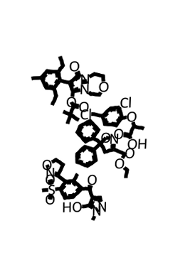 CC(Oc1ccc(Cl)cc1Cl)C(=O)O.CCOC(=O)C1=NOC(c2ccccc2)(c2ccccc2)C1.CCc1cc(C)cc(CC)c1-c1c(OC(=O)C(C)(C)C)n2n(c1=O)CCOCC2.Cc1c(C(=O)c2cnn(C)c2O)ccc(S(C)(=O)=O)c1C1=NOCC1